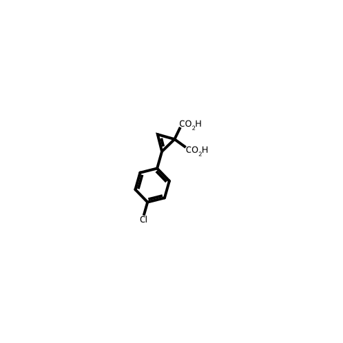 O=C(O)C1(C(=O)O)C=C1c1ccc(Cl)cc1